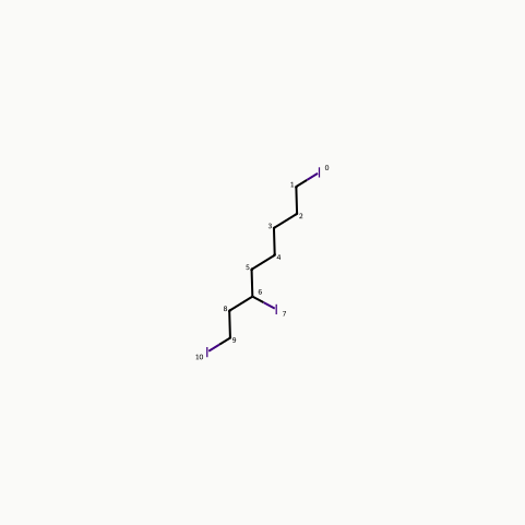 ICCCCCC(I)CCI